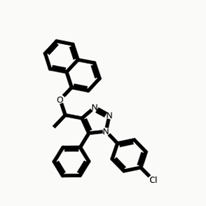 CC(Oc1cccc2ccccc12)c1nnn(-c2ccc(Cl)cc2)c1-c1ccccc1